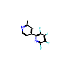 Cc1[c]c(-c2nc(F)c(F)c(F)c2F)ccn1